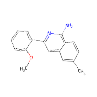 COc1ccccc1-c1cc2cc(C)ccc2c(N)n1